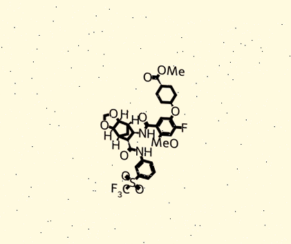 COc1cc(F)c(O[C@H]2CC[C@@H](C(=O)OC)CC2)cc1C(=O)N[C@@H]1[C@@H]2C[C@@H]([C@H]3OCO[C@@H]23)[C@@H]1C(=O)Nc1cccc(S(=O)(=O)C(F)(F)F)c1